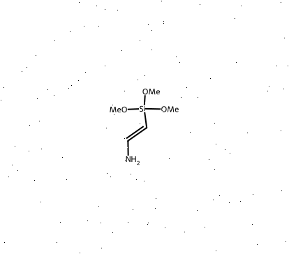 CO[Si](C=CN)(OC)OC